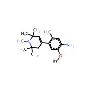 Cc1cc(N)c(OC(C)C)cc1C1=CC(C)(C)N(C)C(C)(C)C1